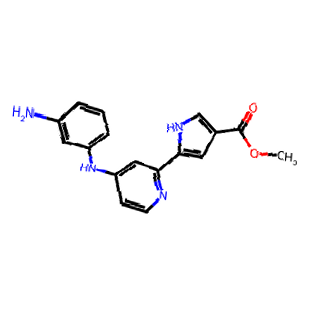 COC(=O)c1c[nH]c(-c2cc(Nc3cccc(N)c3)ccn2)c1